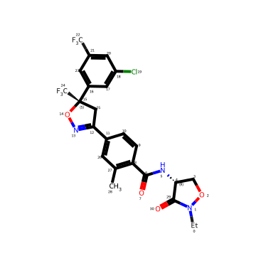 CCN1OC[C@@H](NC(=O)c2ccc(C3=NO[C@@](c4cc(Cl)cc(C(F)(F)F)c4)(C(F)(F)F)C3)cc2C)C1=O